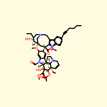 CCCCC#Cc1ccc2[nH]c3c(c2c1)CCN1C[C@H](C[C@@](O)(CC)C1)C[C@]3(C(=O)OC)C1C=C2C(=CC1OC)N(C=O)[C@H]1[C@@](O)(C(=O)OC)[C@H](OC(C)=O)[C@]3(CC)C=CCN4CC[C@]21[C@@H]43